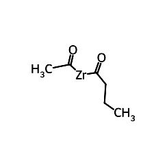 CCC[C](=O)[Zr][C](C)=O